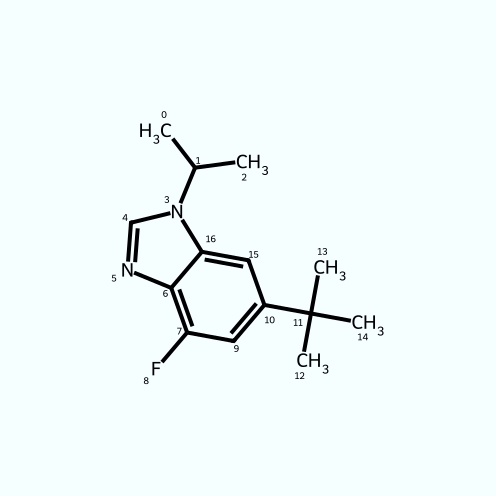 CC(C)n1cnc2c(F)cc(C(C)(C)C)cc21